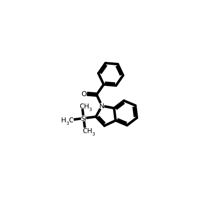 C[Si](C)(C)c1cc2ccccc2n1C(=O)c1ccccc1